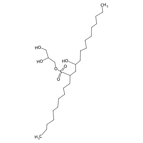 CCCCCCCCCCC(O)CC(CCCCCCCCCC)S(=O)(=O)OCC(O)CO